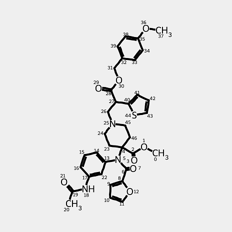 COC(=O)C1(N(C(=O)c2ccco2)c2cccc(NC(C)=O)c2)CCN(CC(C(=O)OCc2ccc(OC)cc2)c2cccs2)CC1